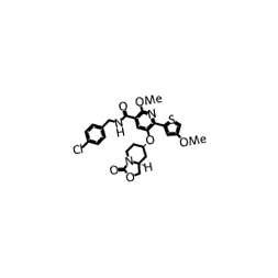 COc1csc(-c2nc(OC)c(C(=O)NCc3ccc(Cl)cc3)cc2O[C@H]2CCN3C(=O)OC[C@@H]3C2)c1